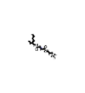 CCCCC(CC)COC(=O)/C=C/C(=O)OCCC[Si](C)(C)C